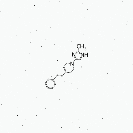 Cc1nc(N2CC=C(C=Cc3ccccc3)CC2)c[nH]1